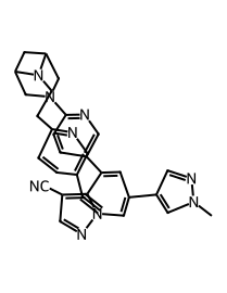 C#Cc1ccc(CCN2C3CC2CN(c2ccc(-c4cc(-c5cnn(C)c5)cn5ncc(C#N)c45)cn2)C3)nc1